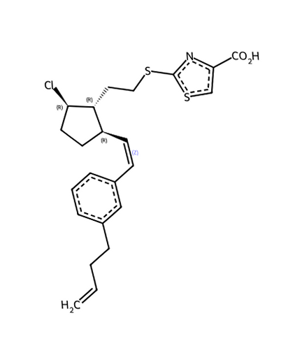 C=CCCc1cccc(/C=C\[C@H]2CC[C@@H](Cl)[C@@H]2CCSc2nc(C(=O)O)cs2)c1